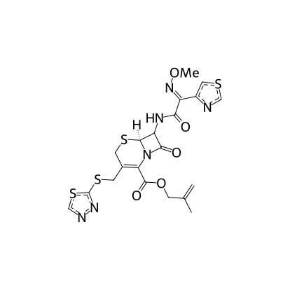 C=C(C)COC(=O)C1=C(CSc2nncs2)CS[C@H]2C(NC(=O)C(=NOC)c3cscn3)C(=O)N12